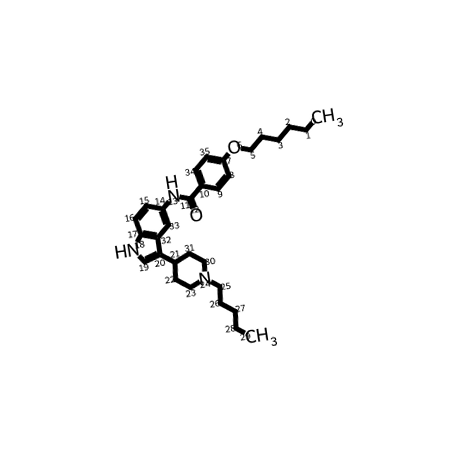 CCCCCCOc1ccc(C(=O)Nc2ccc3[nH]cc(C4CCN(CCCCC)CC4)c3c2)cc1